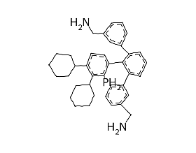 NCc1cccc(-c2cccc(-c3cccc(CN)c3)c2-c2ccc(C3CCCCC3)c(C3CCCCC3)c2P)c1